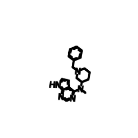 CN(c1ncnc2[nH]ccc12)C1CCCN(Cc2ccccc2)C1